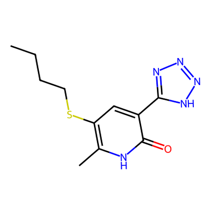 CCCCSc1cc(-c2nnn[nH]2)c(=O)[nH]c1C